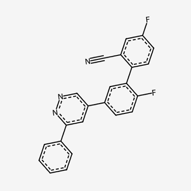 N#Cc1cc(F)ccc1-c1cc(-c2cnnc(-c3ccccc3)c2)ccc1F